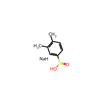 Cc1ccc(S(=O)O)cc1C.[NaH]